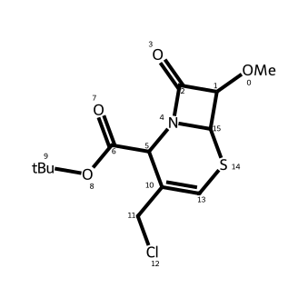 COC1C(=O)N2C(C(=O)OC(C)(C)C)C(CCl)=CSC12